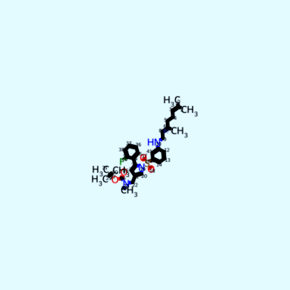 CC(C)=CCC/C(C)=C/CNc1cccc(S(=O)(=O)n2cc(CN(C)C(=O)OC(C)(C)C)cc2-c2ccccc2F)c1